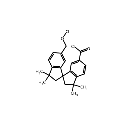 CC1(C)CC2(CC(C)(C)c3ccc(C(=O)Cl)cc32)c2cc(COCl)ccc21